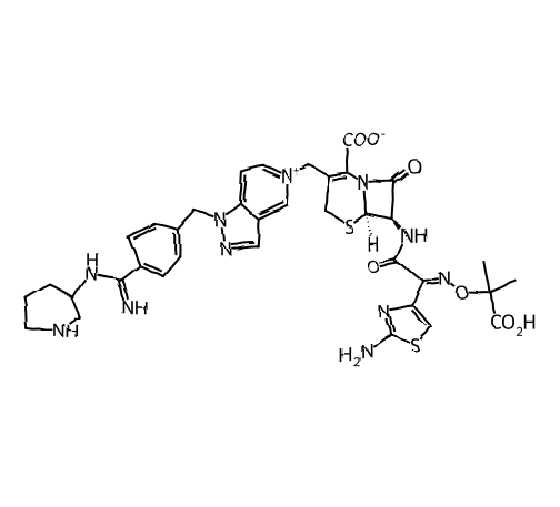 CC(C)(ON=C(C(=O)N[C@@H]1C(=O)N2C(C(=O)[O-])=C(C[n+]3ccc4c(cnn4Cc4ccc(C(=N)NC5CCCNC5)cc4)c3)CS[C@H]12)c1csc(N)n1)C(=O)O